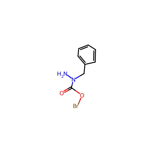 NN(Cc1ccccc1)C(=O)OBr